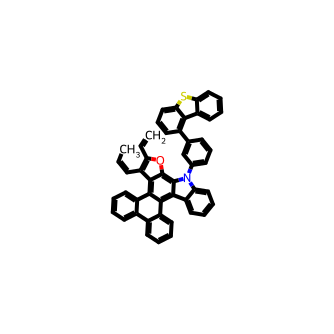 C=Cc1oc2c(c1/C=C\C)c1c3ccccc3c3ccccc3c1c1c3ccccc3n(-c3cccc(-c4cccc5sc6ccccc6c45)c3)c21